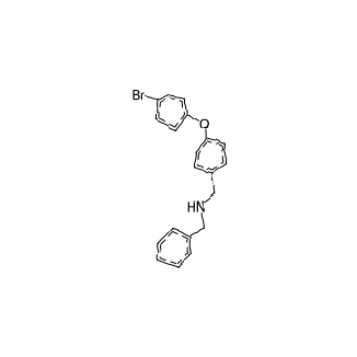 Brc1ccc(Oc2ccc(CNCc3ccccc3)cc2)cc1